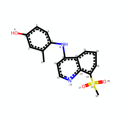 Cc1cc(O)ccc1Nc1ccnc2c(S(C)(=O)=O)cccc12